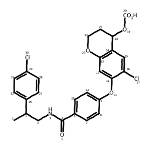 CC(CNC(=O)c1ccc(Oc2cc3c(cc2Cl)C(OC(=O)O)CCO3)cc1)c1ccc(Cl)cc1